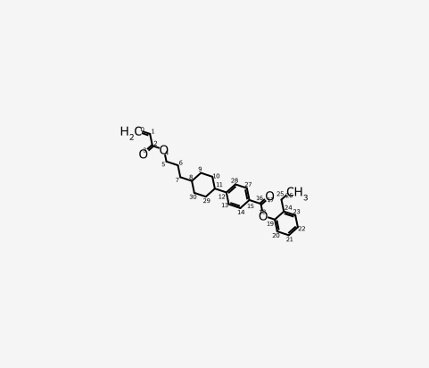 C=CC(=O)OCCCC1CCC(c2ccc(C(=O)Oc3ccccc3CC)cc2)CC1